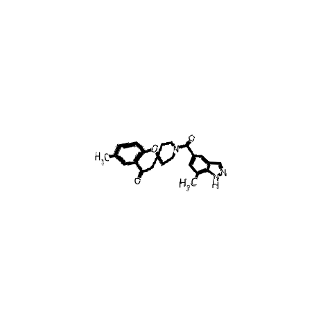 Cc1ccc2c(c1)C(=O)CC1(CCN(C(=O)c3cc(C)c4[nH]ncc4c3)CC1)O2